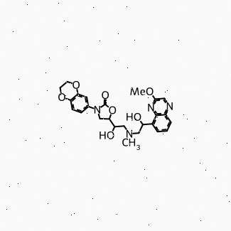 COc1cnc2cccc(C(O)CN(C)CC(O)C3CN(c4ccc5c(c4)OCCO5)C(=O)O3)c2n1